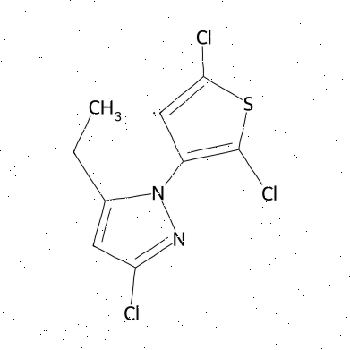 CCc1cc(Cl)nn1-c1[c]c(Cl)sc1Cl